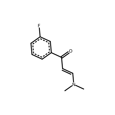 CN(C)C=CC(=O)c1cccc(F)c1